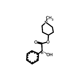 CN1CCC(OC(=O)[C@H](O)c2ccccc2)CC1